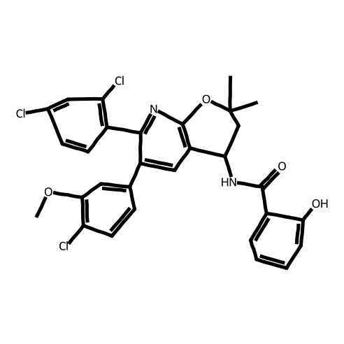 COc1cc(-c2cc3c(nc2-c2ccc(Cl)cc2Cl)OC(C)(C)CC3NC(=O)c2ccccc2O)ccc1Cl